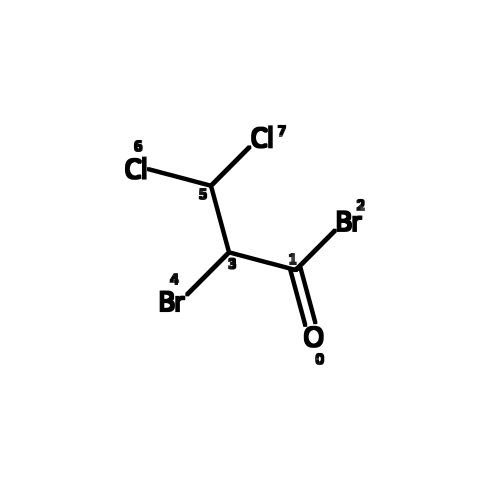 O=C(Br)C(Br)C(Cl)Cl